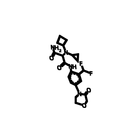 NC(=O)[C@H](C(=O)Nc1ccc(N2CCOCC2=O)cc1C(F)F)N(C1CCC1)C1CC1